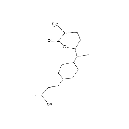 CC(O)CCC1CCC(C(C)C2CCC(C(F)(F)F)C(=O)O2)CC1